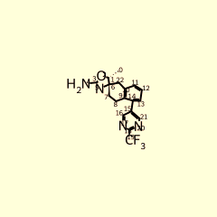 C[C@H]1OC(N)=N[C@]12CCc1c(cccc1-c1cnc(C(F)(F)F)nc1)C2